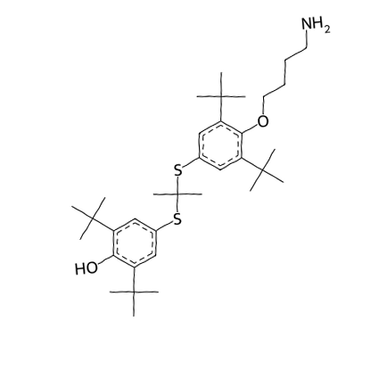 CC(C)(Sc1cc(C(C)(C)C)c(O)c(C(C)(C)C)c1)Sc1cc(C(C)(C)C)c(OCCCCN)c(C(C)(C)C)c1